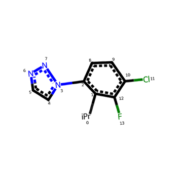 CC(C)c1c(-n2ccnn2)ccc(Cl)c1F